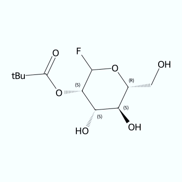 CC(C)(C)C(=O)O[C@@H]1C(F)O[C@H](CO)[C@@H](O)[C@@H]1O